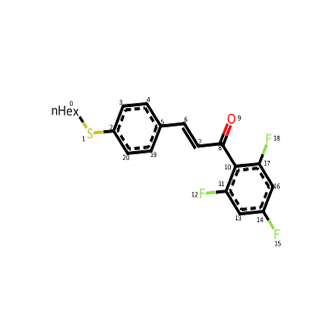 CCCCCCSc1ccc(/C=C/C(=O)c2c(F)cc(F)cc2F)cc1